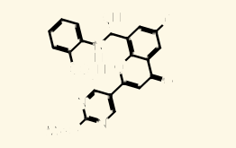 COc1ncc(-c2cc(=O)c3cc(C)cc([C@@H](C)Nc4ccccc4C(=O)O)c3o2)cn1